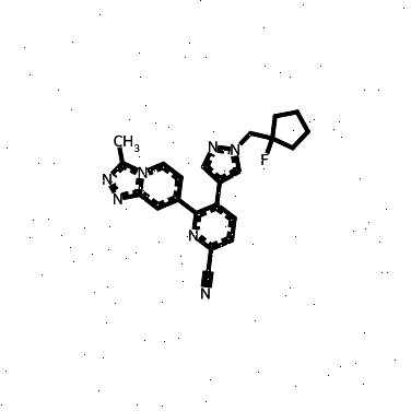 Cc1nnc2cc(-c3nc(C#N)ccc3-c3cnn(CC4(F)CCCC4)c3)ccn12